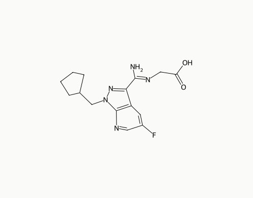 NC(=NCC(=O)O)c1nn(CC2CCCC2)c2ncc(F)cc12